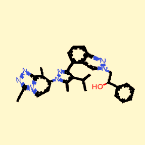 Cc1c(-n2nc(-c3cccc4nn(C[C@H](O)c5ccccc5)cc34)c(C(C)C)c2C)ccn2c(C)nnc12